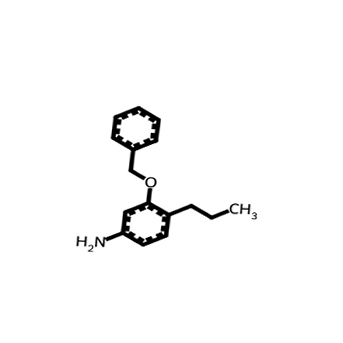 CCCc1ccc(N)cc1OCc1ccccc1